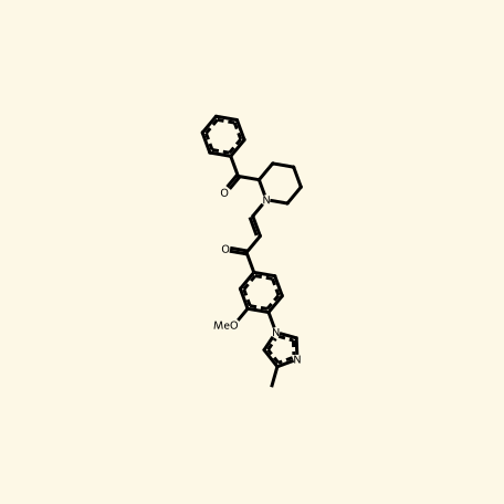 COc1cc(C(=O)/C=C/N2CCCCC2C(=O)c2ccccc2)ccc1-n1cnc(C)c1